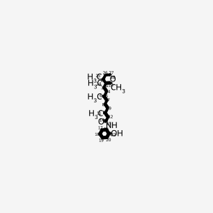 CC1=C(/C=C/C(C)=C/C=C/C(C)=C/C(=O)Nc2ccccc2O)C(C)(C)CCO1